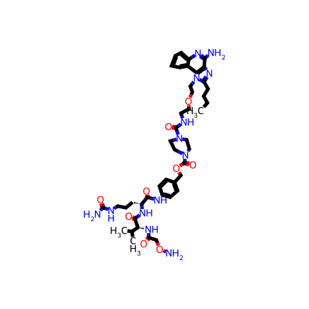 CCCCc1nc2c(N)nc3ccccc3c2n1CCOCCNC(=O)N1CCN(C(=O)OCc2ccc(NC(=O)[C@@H](CCCNC(N)=O)NC(=O)[C@H](NC(=O)CON)C(C)C)cc2)CC1